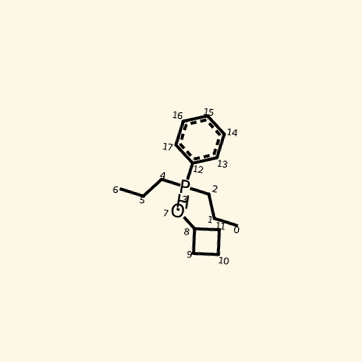 CCC[PH](CCC)(OC1CCC1)c1ccccc1